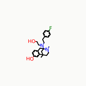 CN1CCC2(C)CC1(N(CCO)CCc1ccc(F)cc1)Cc1ccc(O)cc12